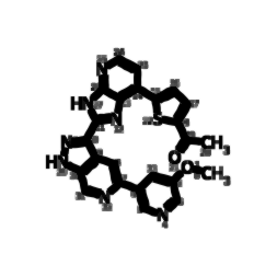 COc1cncc(-c2cc3c(-c4nc5c(-c6ccc(C(C)=O)s6)ccnc5[nH]4)n[nH]c3cn2)c1